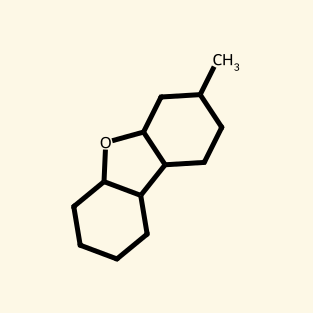 CC1CCC2C(C1)OC1CCCCC12